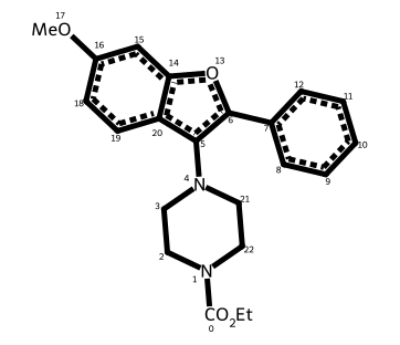 CCOC(=O)N1CCN(c2c(-c3ccccc3)oc3cc(OC)ccc23)CC1